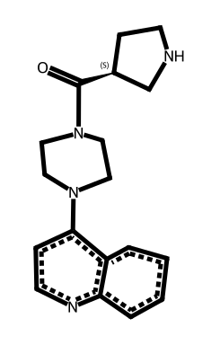 O=C([C@H]1CCNC1)N1CCN(c2ccnc3ccccc23)CC1